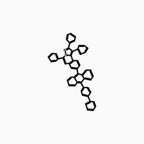 c1ccc(-c2ccc(-c3c4ccccc4c(-c4ccc5c(c4)cc(-c4ccccc4)n4nc(-c6ccccc6)c(-c6ccccc6)c54)c4ccccc34)cc2)cc1